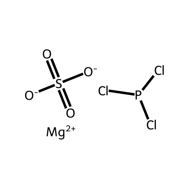 ClP(Cl)Cl.O=S(=O)([O-])[O-].[Mg+2]